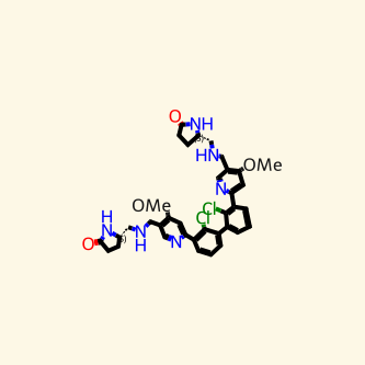 COc1cc(-c2cccc(-c3cccc(-c4cc(OC)c(CNC[C@@H]5CCC(=O)N5)cn4)c3Cl)c2Cl)ncc1CNC[C@@H]1CCC(=O)N1